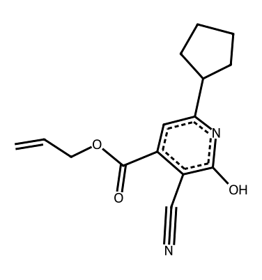 C=CCOC(=O)c1cc(C2CCCC2)nc(O)c1C#N